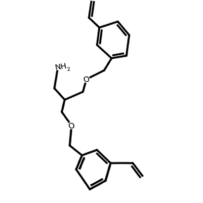 C=Cc1cccc(COCC(CN)COCc2cccc(C=C)c2)c1